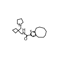 O=C(NCC1(CN2CCCC2)CCC1)c1cc2c(s1)CCCCCCC2